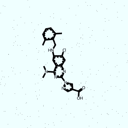 Cc1cccc(C)c1CNc1cc2c(N(C)C)nc(-n3cc(C(=O)O)cn3)nc2cc1Cl